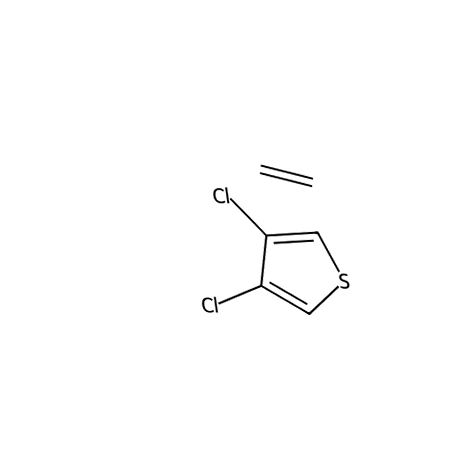 C=C.Clc1cscc1Cl